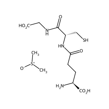 C[S+](C)[O-].N[C@@H](CCC(=O)N[C@@H](CS)C(=O)NCC(=O)O)C(=O)O